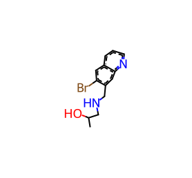 CC(O)CNCc1cc2ncccc2cc1Br